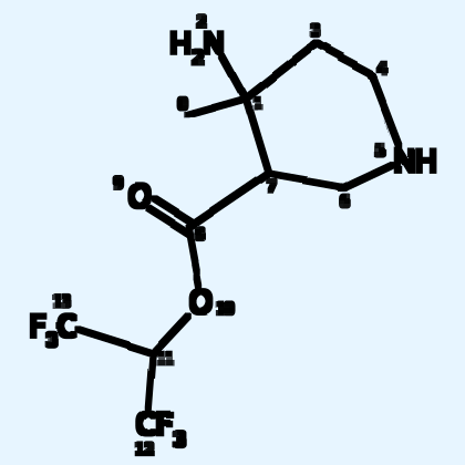 CC1(N)CCNCC1C(=O)OC(C(F)(F)F)C(F)(F)F